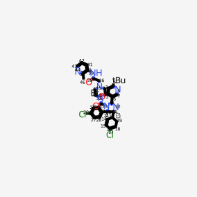 CCOc1cc(C(C)(C)C)ncc1C1=N[C@@](C)(C2C=CC(Cl)=CC2)[C@@](C)(c2ccc(Cl)cc2)N1C(=O)N1CCN(CC(=O)Nc2cccnc2C)CC1